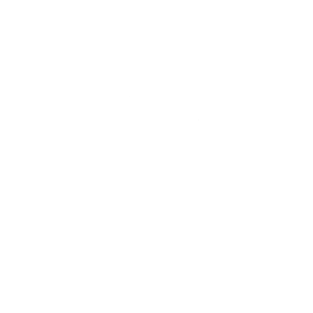 CCCC/C=C\c1ccc2ccccc2c1